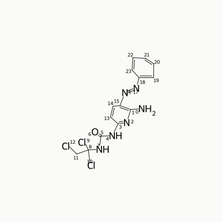 Nc1nc(NC(=O)NC(Cl)(Cl)CCl)ccc1N=Nc1ccccc1